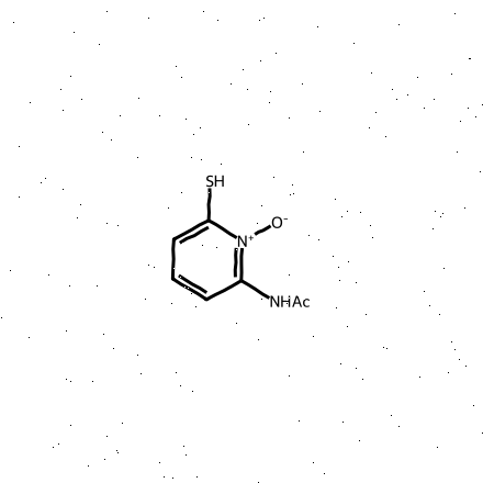 CC(=O)Nc1cccc(S)[n+]1[O-]